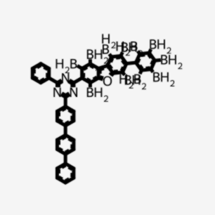 Bc1c(B)c(B)c(-c2c(B)c(B)c3c(oc4c(B)c(-c5nc(-c6ccccc6)nc(-c6ccc(-c7ccc(-c8ccccc8)cc7)cc6)n5)c(B)c(B)c43)c2B)c(B)c1B